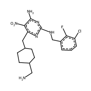 NCC1CCC(Cc2nc(NCc3cccc(Cl)c3F)nc(N)c2[N+](=O)[O-])CC1